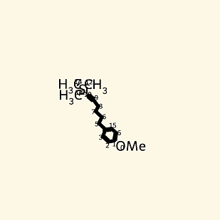 COc1ccc(CCCCC#C[Si](C)(C)C)cc1